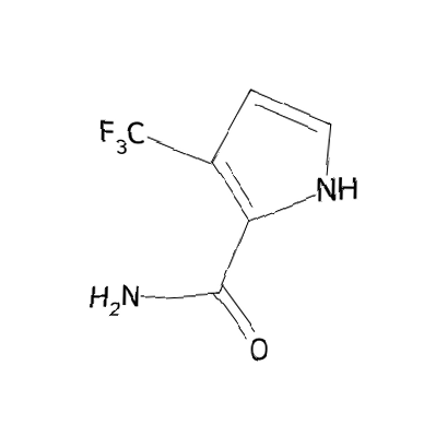 NC(=O)c1[nH]ccc1C(F)(F)F